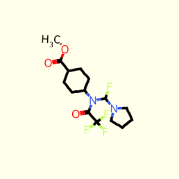 COC(=O)C1CCC(N(C(=O)C(F)(F)F)C(F)N2CCCC2)CC1